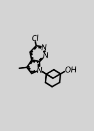 Cc1cn(C23CCCC(O)(C2)C3)c2nnc(Cl)cc12